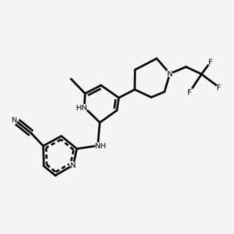 CC1=CC(C2CCN(CC(F)(F)F)CC2)=CC(Nc2cc(C#N)ccn2)N1